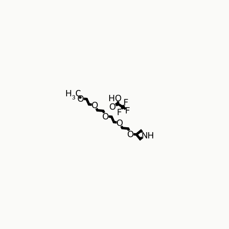 COCCOCCOCCOCCOC1CNC1.O=C(O)C(F)(F)F